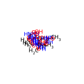 C=CCOC(=O)Nc1ccc2[nH]cc(CCNC(C)=O)c2c1.CC(=O)NCCc1c[nH]c2ccc(NC(=O)OCCCO)cc12.COC(=O)Nc1ccc2[nH]c(-c3ccccc3)c(CCNC(C)=O)c2c1.COC(=O)Nc1ccc2[nH]cc(CCCNC(C)=O)c2c1.COC(=O)Nc1ccc2[nH]cc(CCNC(=O)CCC(=O)O)c2c1